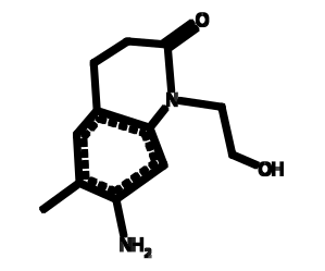 Cc1cc2c(cc1N)N(CCO)C(=O)CC2